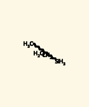 C=C.CCCCCCCCCCCC[SiH3]